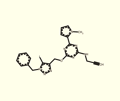 C#CCNc1nc(OCc2nnn(Cc3ccccc3)c2I)nc(-c2cccn2C)n1